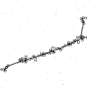 CN[C@@H](CCCCNC(=O)COCCOCCNC(=O)COCCOCCNC(=O)CC[C@H](NC(=O)CCCCCCCCCCCOc1ccc(C(=O)O)cc1)C(=O)O)C(=O)CN[C@@H](CCCCNC(=O)COCCOCCNC(=O)COCCOCCNC(=O)CC[C@H](NC(=O)CCCCCCCCCCCOc1ccc(C(=O)O)cc1)C(=O)O)C(C)=O